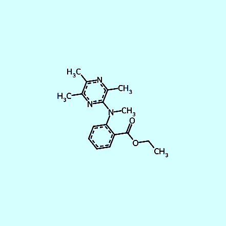 CCOC(=O)c1ccccc1N(C)c1nc(C)c(C)nc1C